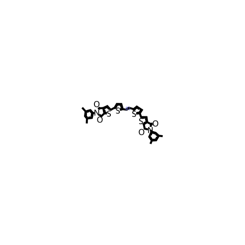 Cc1cc(C)cc(N2C(=O)c3cc(-c4ccc(/C=C/c5ccc(-c6cc7c(s6)C(=O)N(c6cc(C)cc(C)c6)C7=O)s5)s4)sc3C2=O)c1